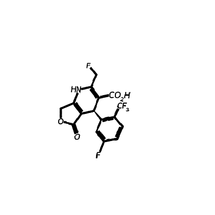 O=C(O)C1=C(CF)NC2=C(C(=O)OC2)[C@@H]1c1cc(F)ccc1C(F)(F)F